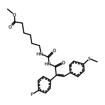 COC(=O)CCCCCNC(=O)NC(=O)C(=Cc1ccc(SC)cc1)c1ccc(F)cc1